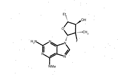 CC[C@H]1O[C@@H](n2cnc3c(NC)nc(N)nc32)[C@](C)(F)[C@@H]1O